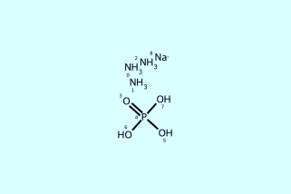 N.N.N.O=P(O)(O)O.[Na]